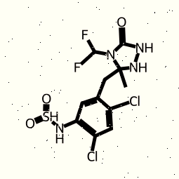 CC1(Cc2cc(N[SH](=O)=O)c(Cl)cc2Cl)NNC(=O)N1C(F)F